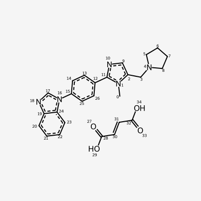 Cn1c(CN2CCCC2)cnc1-c1ccc(-n2cnc3ccccc32)cc1.O=C(O)C=CC(=O)O